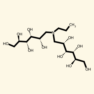 CCCN(C[C@H](O)[C@@H](O)[C@H](O)[C@H](O)CO)C[C@H](O)[C@@H](O)[C@H](O)[C@H](O)CO